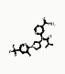 CC(C)C(=O)N(c1cc(C(N)=O)ccn1)C1CCN(c2ncc(C(F)(F)F)cc2F)C1